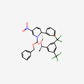 C[C@@H](OC[C@@]1(c2ccccc2)C=CC([N+](=O)[O-])=CN1C(=O)OCc1ccccc1)c1cc(C(F)(F)F)cc(C(F)(F)F)c1